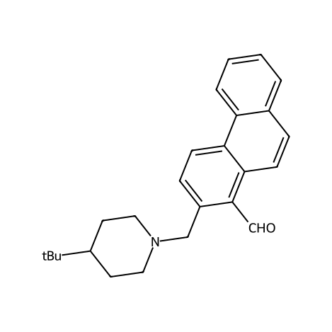 CC(C)(C)C1CCN(Cc2ccc3c(ccc4ccccc43)c2C=O)CC1